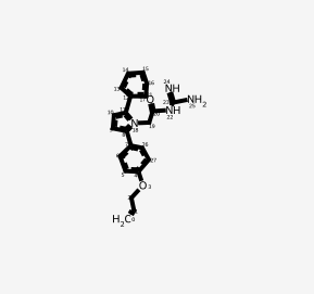 C=CCOc1ccc(-c2ccc(-c3ccccc3)n2CC(=O)NC(=N)N)cc1